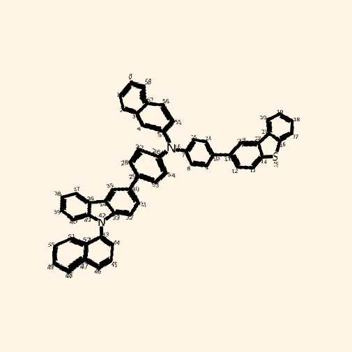 c1ccc2cc(N(c3ccc(-c4ccc5sc6ccccc6c5c4)cc3)c3ccc(-c4ccc5c(c4)c4ccccc4n5-c4cccc5ccccc45)cc3)ccc2c1